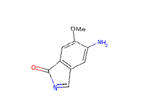 COc1cc2c(cc1N)C=NC2=O